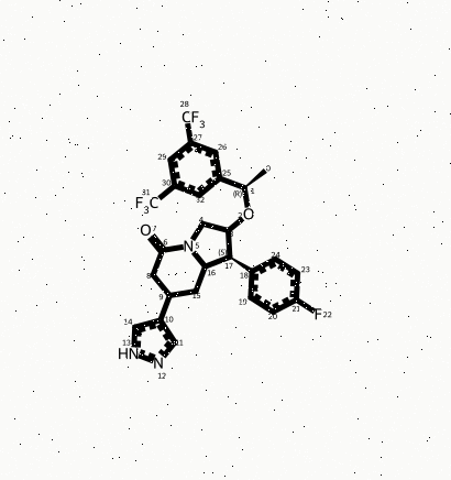 C[C@@H](OC1CN2C(=O)CC(c3cn[nH]c3)CC2[C@@H]1c1ccc(F)cc1)c1cc(C(F)(F)F)cc(C(F)(F)F)c1